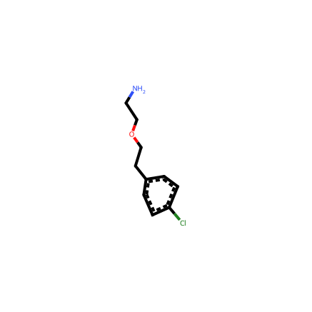 NCCOCCc1ccc(Cl)cc1